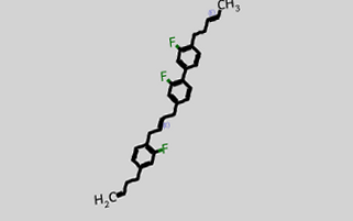 C=CCCc1ccc(C/C=C/Cc2ccc(-c3ccc(CC/C=C/C)c(F)c3)c(F)c2)c(F)c1